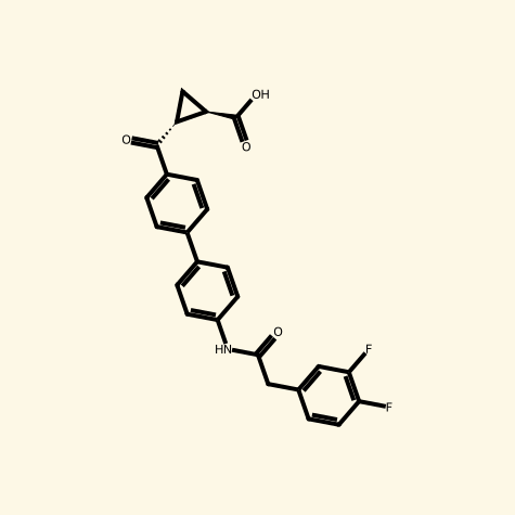 O=C(Cc1ccc(F)c(F)c1)Nc1ccc(-c2ccc(C(=O)[C@@H]3C[C@H]3C(=O)O)cc2)cc1